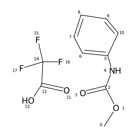 COC(=O)Nc1ccccc1.O=C(O)C(F)(F)F